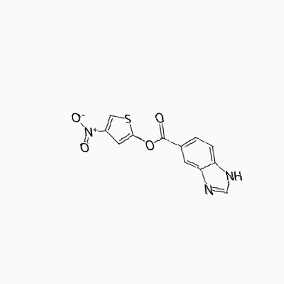 O=C(Oc1cc([N+](=O)[O-])cs1)c1ccc2[nH]cnc2c1